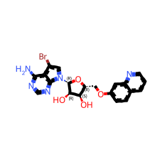 Nc1ncnc2c1c(Br)cn2[C@@H]1O[C@H](COc2ccc3cccnc3c2)[C@@H](O)[C@H]1O